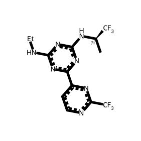 CCNc1nc(N[C@H](C)C(F)(F)F)nc(-c2ccnc(C(F)(F)F)n2)n1